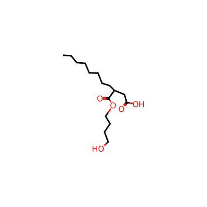 CCCCCCCCC(CC(=O)O)C(=O)OCCCCO